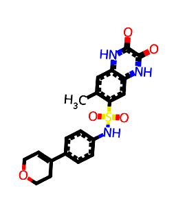 Cc1cc2[nH]c(=O)c(=O)[nH]c2cc1S(=O)(=O)Nc1ccc(C2=CCOCC2)cc1